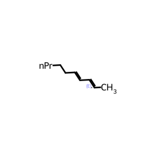 C/[C]=C/C=CCCCCC